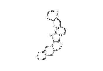 c1ccc2cc3c(ccc4c5ccc6cc7ccccc7cc6c5[nH]c34)cc2c1